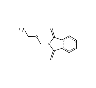 CCOCN1C(=O)c2ccccc2C1=O